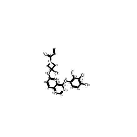 C=CC(=O)N1CC(CC)(Oc2ccc3ncnc(Oc4ccc(Cl)c(Cl)c4F)c3n2)C1